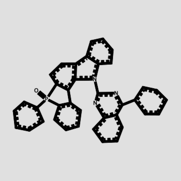 O=P1(c2ccccc2)c2ccccc2-c2c1ccc1c3ccccc3n(-c3nc(-c4ccccc4)c4ccccc4n3)c21